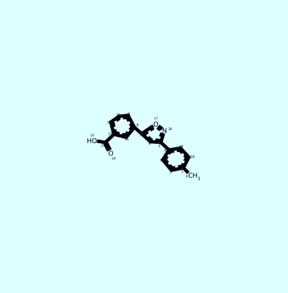 Cc1ccc(-c2cc(-c3cccc(C(=O)O)c3)on2)cc1